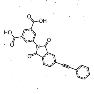 O=C(O)c1cc(C(=O)O)cc(N2C(=O)c3ccc(C#Cc4ccccc4)cc3C2=O)c1